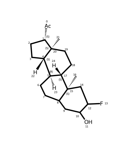 CC(=O)[C@H]1CC[C@H]2[C@@H]3CCC4CC(O)C(F)C[C@]4(C)[C@H]3CC[C@]12C